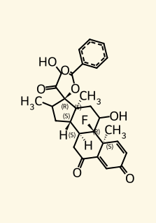 CC1C[C@H]2[C@@H]3CC(=O)C4=CC(=O)C=C[C@]4(C)[C@@]3(F)C(O)C[C@]2(C)[C@@]1(OC(=O)c1ccccc1)C(=O)CO